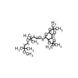 COC(C)(C)CCOC(C)(C)CCOCC1OC2OC(C)(C)OC2C2OC(C)(C)OC12